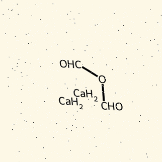 O=COC=O.[CaH2].[CaH2]